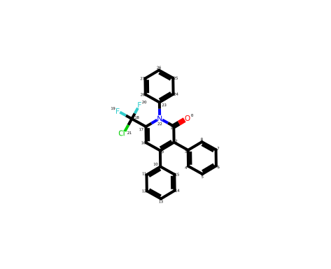 O=c1c(-c2ccccc2)c(-c2ccccc2)cc(C(F)(F)Cl)n1-c1ccccc1